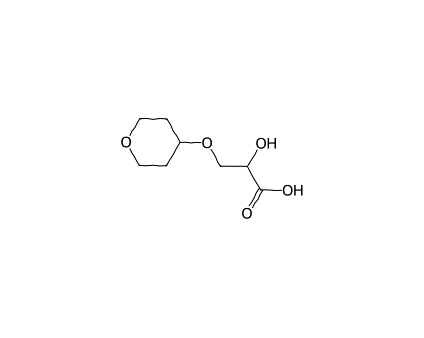 O=C(O)C(O)COC1CCOCC1